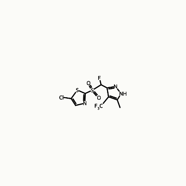 Cc1[nH]nc(C(F)S(=O)(=O)c2ncc(Cl)s2)c1C(F)(F)F